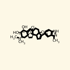 Cc1n[nH]c2ccc(C3=CCC4[C@@]56CC[C@]7(C[C@H](N(C)C)[C@@H](O)[C@H](O)C7=CC5(Cl)CC[C@]34C)O6)cc12